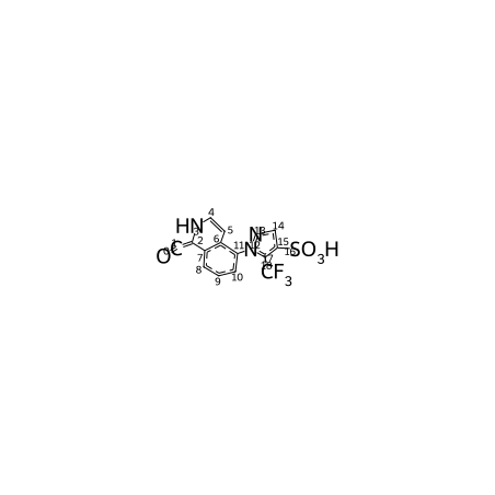 O=C=C1NC=Cc2c1cccc2-n1ncc(S(=O)(=O)O)c1C(F)(F)F